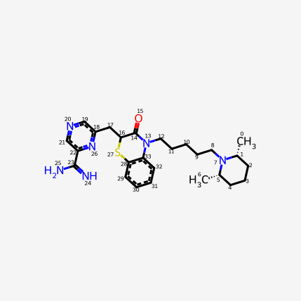 C[C@@H]1CCC[C@H](C)N1CCCCCN1C(=O)C(Cc2cncc(C(=N)N)n2)Sc2ccccc21